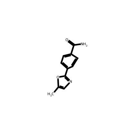 Cc1cnc(-c2ccc(C(N)=O)cc2)o1